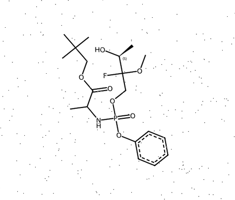 COC(F)(COP(=O)(NC(C)C(=O)OCC(C)(C)C)Oc1ccccc1)[C@H](C)O